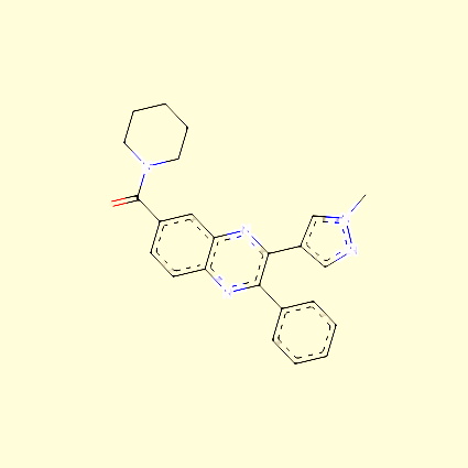 Cn1cc(-c2nc3cc(C(=O)N4CCCCC4)ccc3nc2-c2ccccc2)cn1